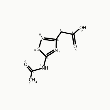 CC(=O)Nc1nc(CC(=O)O)ns1